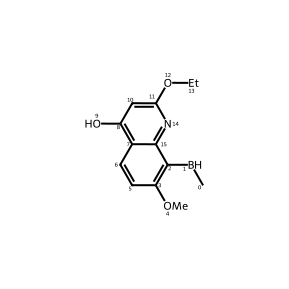 CBc1c(OC)ccc2c(O)cc(OCC)nc12